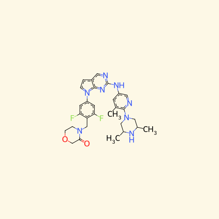 Cc1cc(Nc2ncc3ccn(-c4cc(F)c(CN5CCOCC5=O)c(F)c4)c3n2)cnc1N1CC(C)NC(C)C1